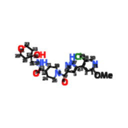 COc1cc(-c2cc(C(=O)N3CCC(C(=O)NCC4(O)CCOCC4)CC3)n[nH]2)c(Cl)cn1